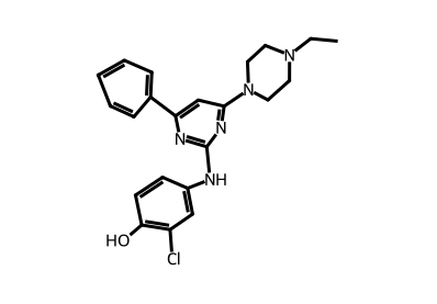 CCN1CCN(c2cc(-c3ccccc3)nc(Nc3ccc(O)c(Cl)c3)n2)CC1